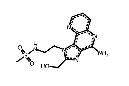 CS(=O)(=O)NCCn1c(CO)nc2c(N)nc3cccnc3c21